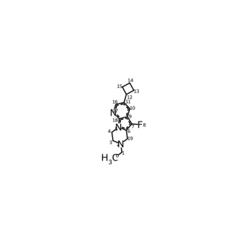 CCN1CCn2c(c(F)c3cc(C4CCC4)cnc32)C1